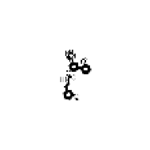 COc1cccc(CCNC(=O)Oc2cc(-c3ccccc3OC)cc(-n3cnnn3)c2)c1